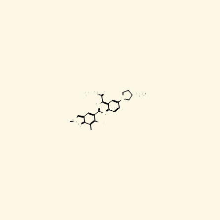 CNC(=O)c1nc(-c2cc3cn(C)nc3c(C)c2O)nc2ccc(N3CC[C@H](NC)C3)cc12